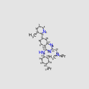 Cc1cccnc1-c1ccc2c(Nc3ccc(C(C)C)cc3)nc(CN(C)C(C)C)nc2c1